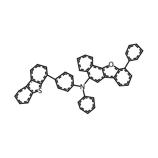 c1ccc(-c2cccc3c2oc2c4ccccc4c(N(c4ccccc4)c4ccc(-c5cccc6c5sc5ccccc56)cc4)cc32)cc1